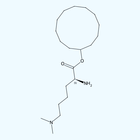 CN(C)CCCC[C@H](N)C(=O)OC1CCCCCCCCCCC1